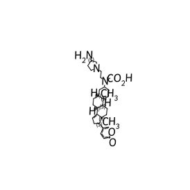 C[C@]12CCC(N(CCN3CC[C@H](N)C3)C(=O)O)C[C@H]1CC[C@H]1C3=CC[C@H](c4ccc(=O)oc4)[C@@]3(C)CC[C@@H]12